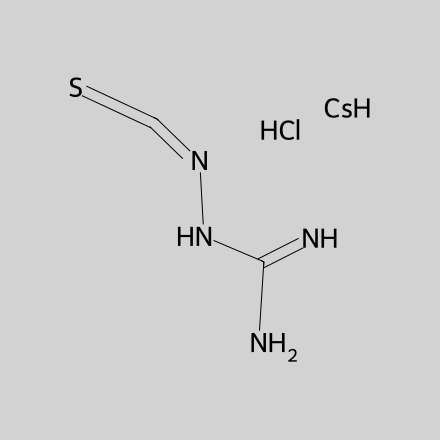 Cl.N=C(N)NN=C=S.[CsH]